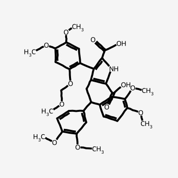 COCOc1cc(OC)c(OC)cc1-c1c(C(=O)O)[nH]c(C(=O)O)c1CC(c1ccc(OC)c(OC)c1)c1ccc(OC)c(OC)c1